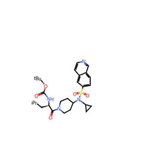 CC(C)C[C@@H](NC(=O)OC(C)(C)C)C(=O)N1CCC(N(C2CC2)S(=O)(=O)c2ccc3cnccc3c2)CC1